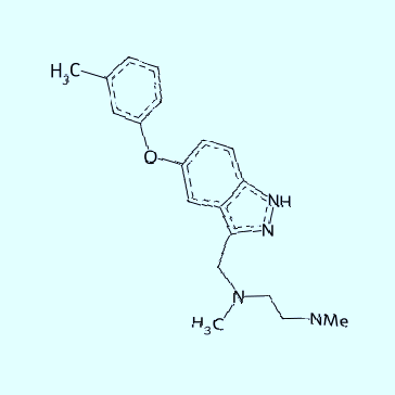 CNCCN(C)Cc1n[nH]c2ccc(Oc3cccc(C)c3)cc12